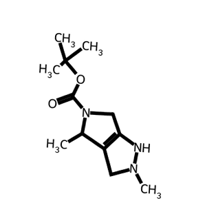 CC1C2=C(CN1C(=O)OC(C)(C)C)NN(C)C2